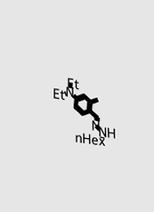 CCCCCCNN=Cc1ccc(N(CC)CC)cc1C